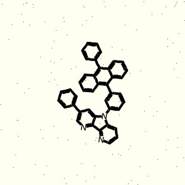 c1ccc(-c2cnc3c4ncccc4n(-c4cccc(-c5c6ccccc6c(-c6ccccc6)c6ccccc56)c4)c3c2)cc1